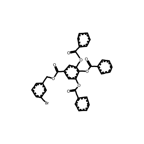 O=C(OCc1cccc(Br)c1)c1cc(OC(=O)c2ccccc2)c(OC(=O)c2ccccc2)c(OC(=O)c2ccccc2)c1